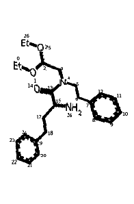 CCOC(CN(CCc1ccccc1)C(=O)C(N)CCc1ccccc1)OCC